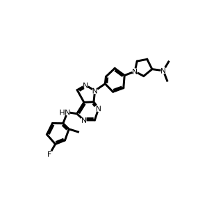 Cc1cc(F)ccc1Nc1ncnc2c1cnn2-c1ccc(N2CCC(N(C)C)C2)cc1